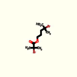 CC(C)(Br)C(=O)OCCCC(C)(Br)C(=O)O